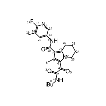 CCC(C)NC(=O)C(=O)c1c(C)c(C(=O)Nc2cnc(F)c(C)c2)c2n1CCCC2